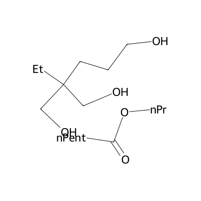 CCC(CO)(CO)CCCO.CCCCCC(=O)OCCC